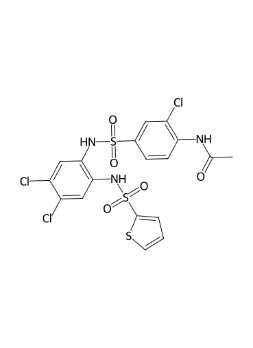 CC(=O)Nc1ccc(S(=O)(=O)Nc2cc(Cl)c(Cl)cc2NS(=O)(=O)c2cccs2)cc1Cl